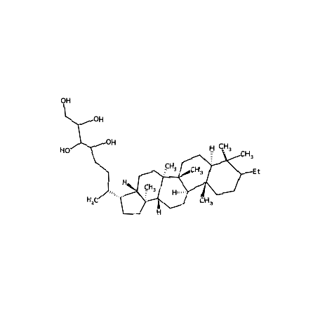 CCC1CC[C@]2(C)[C@H]3CC[C@@H]4[C@@]5(C)CC[C@H](C(C)CCC(O)C(O)C(O)CO)[C@@H]5CC[C@@]4(C)[C@]3(C)CC[C@H]2C1(C)C